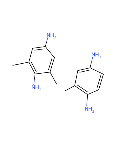 Cc1cc(N)cc(C)c1N.Cc1cc(N)ccc1N